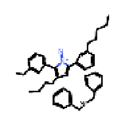 CCCCCc1cccc(C2=CC(CCCC)=C(c3cccc(CC)c3)[N+]2=[N-])c1.c1ccc([CH2][Ni][CH2]c2ccccc2)cc1